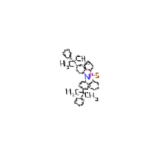 CC(C)(c1ccccc1)c1ccc(N(c2ccc(C(C)(C)c3ccccc3)cc2)P(=S)(c2ccccc2)c2ccccc2)cc1